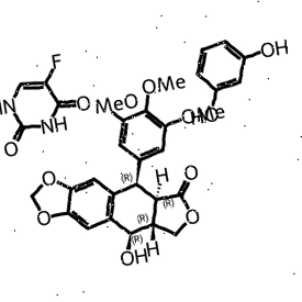 COc1cc([C@@H]2c3cc4c(cc3[C@H](O)[C@H]3COC(=O)[C@H]23)OCO4)cc(OC)c1OC.O=c1[nH]cc(F)c(=O)[nH]1.Oc1cccc(O)c1